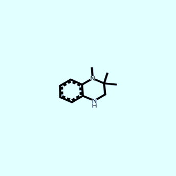 CN1c2ccccc2NCC1(C)C